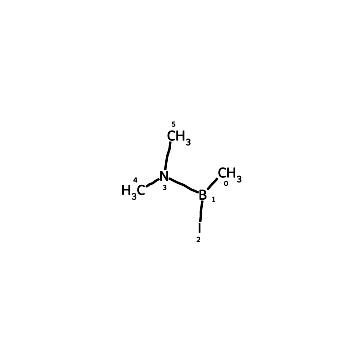 CB(I)N(C)C